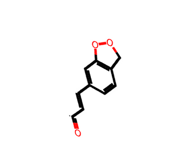 O=[C]/C=C/c1ccc2c(c1)OOC2